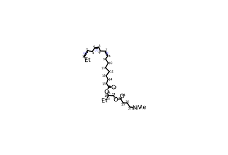 CC/C=C\C/C=C\C/C=C\CCCCCCCC(=O)OC(CC)COC(=O)CCCNC